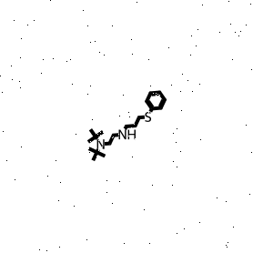 CC(C)(C)N(CCNCCCSc1ccccc1)C(C)(C)C